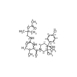 CC(=O)OC(C)(C)CNC(=O)N[C@@H](C(=O)N1CC[C@](O)(c2ccc(Cl)cc2)C(C)(C)C1)C(C)C